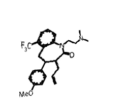 C=CCC1C(=O)N(CCN(C)C)c2cccc(C(F)(F)F)c2CC1c1ccc(OC)cc1